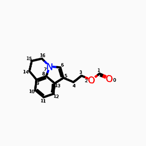 O=COCCc1cn2c3c(cccc13)CCC2